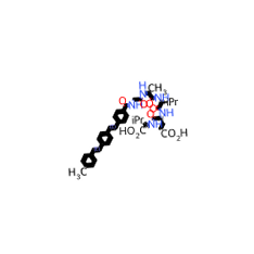 Cc1ccc(/C=C/c2ccc(/C=C/c3ccc(C(=O)NCC(=O)N[C@@H](C)C(=O)N[C@H](C(=O)N[C@@H](CCC(=O)O)C(=O)N[C@H](C(=O)O)C(C)C)C(C)C)cc3)cc2)cc1